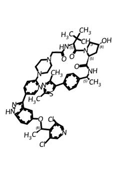 Cc1nc(C)c(-c2ccc([C@H](C)NC(=O)[C@@H]3C[C@@H](O)CN3C(=O)[C@@H](NC(=O)CN3CCN(c4ccc(-c5n[nH]c6ccc(O[C@H](C)c7c(Cl)cncc7Cl)cc56)cn4)CC3)C(C)(C)C)cc2)s1